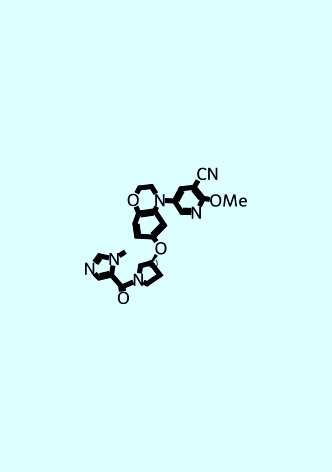 COc1ncc(N2CCOc3ccc(O[C@H]4CCN(C(=O)c5cncn5C)C4)cc32)cc1C#N